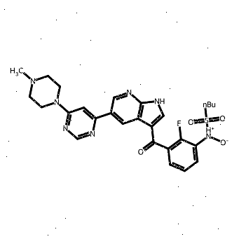 CCCCS(=O)(=O)[NH+]([O-])c1cccc(C(=O)c2c[nH]c3ncc(-c4cc(N5CCN(C)CC5)ncn4)cc23)c1F